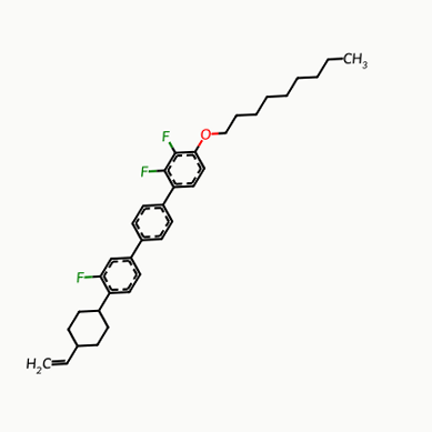 C=CC1CCC(c2ccc(-c3ccc(-c4ccc(OCCCCCCCCC)c(F)c4F)cc3)cc2F)CC1